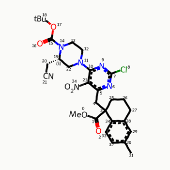 COC(=O)C1(Cc2nc(Cl)nc(N3CCN(C(=O)OC(C)(C)C)[C@@H](CC#N)C3)c2[N+](=O)[O-])CCCc2cc(C)ccc21